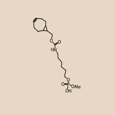 COP(=O)(O)OCCCCCCNC(=O)OCC1C2CCC#CCCC21